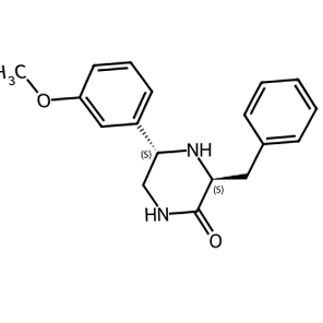 COc1cccc([C@H]2CNC(=O)[C@H](Cc3ccccc3)N2)c1